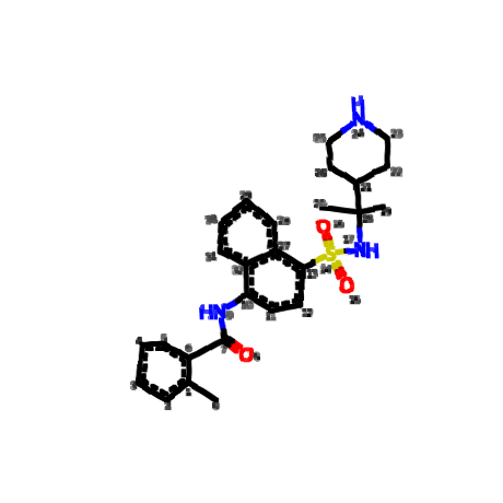 Cc1ccccc1C(=O)Nc1ccc(S(=O)(=O)NC(C)(C)C2CCNCC2)c2ccccc12